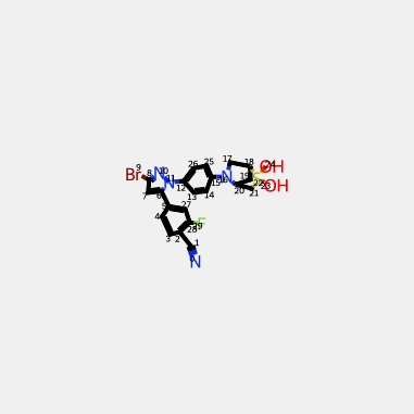 N#Cc1ccc(-c2cc(Br)nn2-c2ccc(N3CC4CC3CS4(O)O)cc2)cc1F